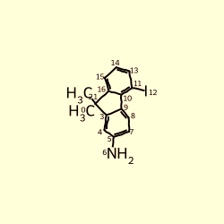 CC1(C)c2cc(N)ccc2-c2c(I)cccc21